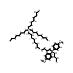 CCCCCCCC[P+](CCCCCCCC)(CCCCCCCC)CCCCCCCC.CCCC[B-](CCCC)(c1ccc(OC)cc1)c1ccc(OC)cc1